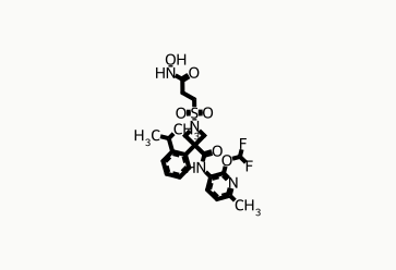 Cc1ccc(NC(=O)C2(c3ccccc3C(C)C)CN(S(=O)(=O)CCC(=O)NO)C2)c(OC(F)F)n1